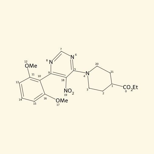 CCOC(=O)C1CCN(c2ncnc(-c3c(OC)cccc3OC)c2[N+](=O)[O-])CC1